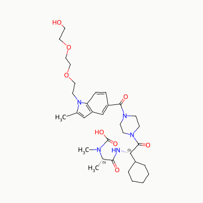 Cc1cc2cc(C(=O)N3CCN(C(=O)[C@@H](NC(=O)[C@H](C)N(C)C(=O)O)C4CCCCC4)CC3)ccc2n1CCOCCOCCO